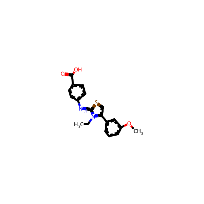 CCn1c(-c2cccc(OC)c2)cs/c1=N\c1ccc(C(=O)O)cc1